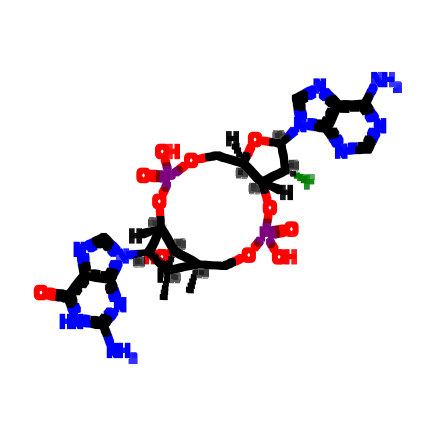 C[C@@H]1[C@@H](n2cnc3c(=O)[nH]c(N)nc32)[C@@H]2OP(=O)(O)OC[C@H]3O[C@@H](n4cnc5c(N)ncnc54)[C@H](F)[C@@H]3OP(=O)(O)OC[C@]1(C)[C@H]2O